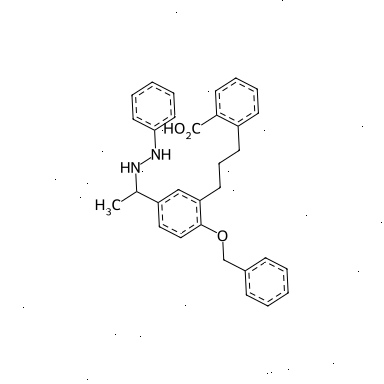 CC(NNc1ccccc1)c1ccc(OCc2ccccc2)c(CCCc2ccccc2C(=O)O)c1